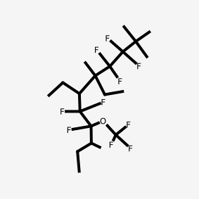 CCC(C(F)(F)C(F)(OC(F)(F)F)C(C)CC)C(C)(CC)C(F)(F)C(F)(F)C(C)(C)C